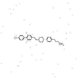 CCCCc1ccc([C@H]2CC[C@H](CCc3cc(F)c(-c4ccc(Cl)cc4)c(F)c3)CC2)cc1